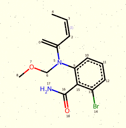 C=C(/C=C\C)N(COC)c1cccc(Br)c1C(N)=O